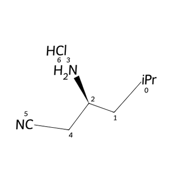 CC(C)C[C@H](N)CC#N.Cl